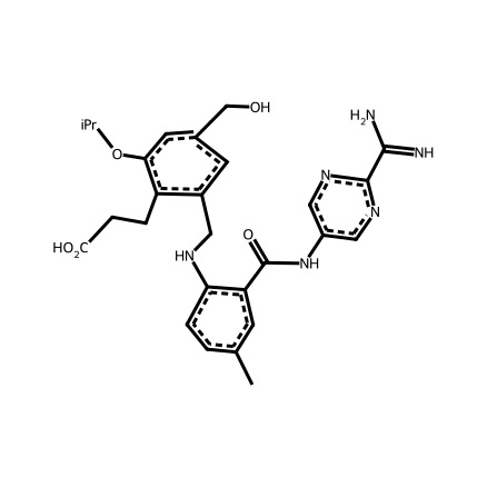 Cc1ccc(NCc2cc(CO)cc(OC(C)C)c2CCC(=O)O)c(C(=O)Nc2cnc(C(=N)N)nc2)c1